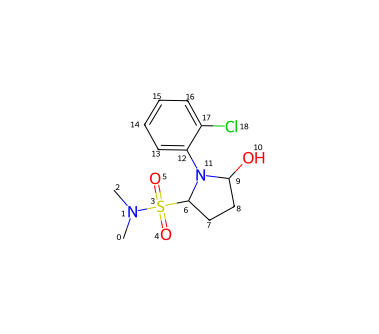 CN(C)S(=O)(=O)C1CCC(O)N1c1ccccc1Cl